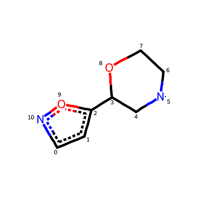 c1cc(C2C[N]CCO2)on1